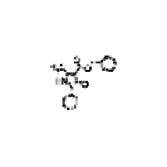 Cc1[nH]n(-c2ccccc2)c(=O)c1C(=O)OCc1ccccc1